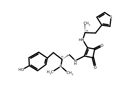 C[C@H](Cc1ccsc1)Nc1c(NC[C@@H](Cc2ccc(O)cc2)N(C)C)c(=O)c1=O